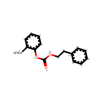 CCCCCCc1ccccc1OC(=O)OCCc1ccccc1